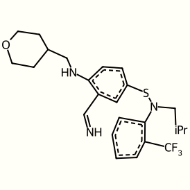 CC(C)CN(Sc1ccc(NCC2CCOCC2)c(C=N)c1)c1ccccc1C(F)(F)F